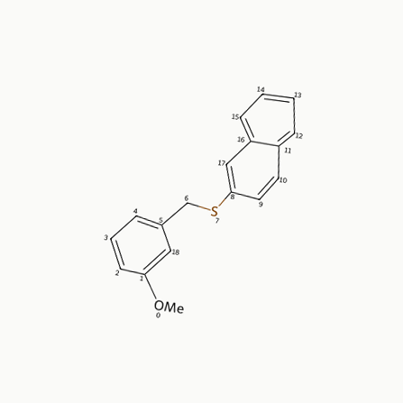 COc1cccc(CSc2ccc3ccccc3c2)c1